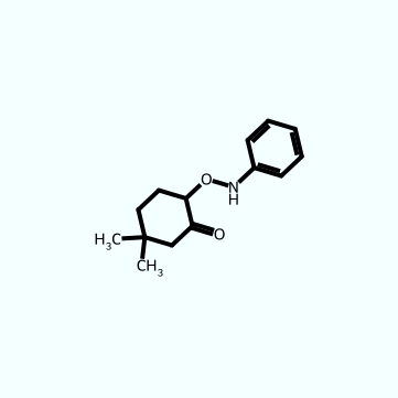 CC1(C)CCC(ONc2ccccc2)C(=O)C1